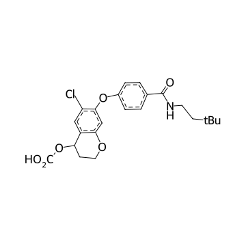 CC(C)(C)CCNC(=O)c1ccc(Oc2cc3c(cc2Cl)C(OC(=O)O)CCO3)cc1